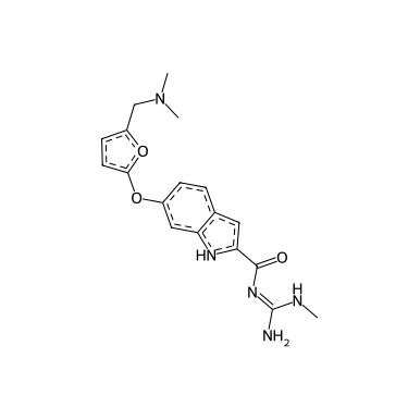 CNC(N)=NC(=O)c1cc2ccc(Oc3ccc(CN(C)C)o3)cc2[nH]1